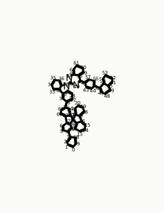 c1ccc(-c2ccc3c(c2)C2(c4ccccc4-c4ccccc42)c2cc(-c4ccc5c(c4)c4ccccc4n5-c4nc(-c5ccc(-c6cccc7ccccc67)cc5)c5ccccc5n4)ccc2-3)cc1